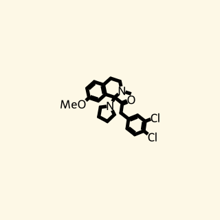 COc1ccc2c(c1)C(C(=O)Cc1ccc(Cl)c(Cl)c1)(N1CCCC1)N(C)CC2